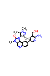 Cc1nn(C)c(C)c1-n1c(=O)n(C)c2cnc3ccc(-c4cnc(N)c(CO)c4)cc3c21